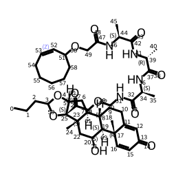 CCCC1O[C@@H]2C[C@H]3[C@@H]4CCC5=CC(=O)C=C[C@]5(C)[C@H]4[C@@H](O)C[C@]3(C)[C@]2(C(=O)COCNC(=O)[C@H](C)NC(=O)[C@@H](C)NC(=O)[C@H](C)NC(=O)COC2/C=C\CCCCC2)O1